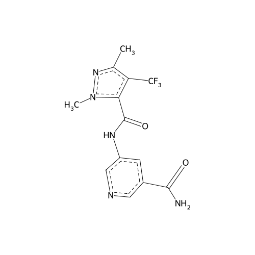 Cc1nn(C)c(C(=O)Nc2cncc(C(N)=O)c2)c1C(F)(F)F